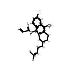 C=CC(=O)Oc1c2c(c(O)c3cc(Cl)ccc13)CCC(CCC=C(C)C)C2